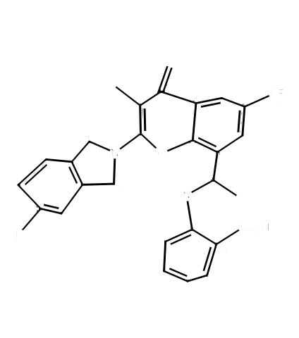 Cc1c(N2Cc3ccc(F)cc3C2)oc2c(C(C)Nc3ccccc3C(=O)O)cc(C(F)(F)F)cc2c1=O